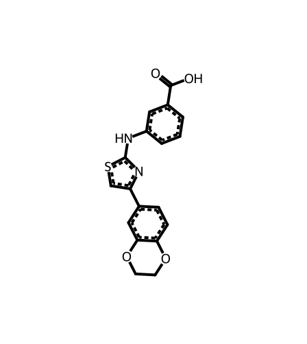 O=C(O)c1cccc(Nc2nc(-c3ccc4c(c3)OCCO4)cs2)c1